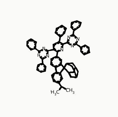 CC(C)c1ccc2c(c1)C1(c3cc(-c4nc(-c5nc(-c6ccccc6)nc(-c6ccccc6)n5)c(-c5ccccc5)cc4-c4nc(-c5ccccc5)nc(-c5ccccc5)n4)ccc3-2)C2CC3CC(C2)CC1C3